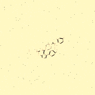 Nc1nc(N2CCN(C(=O)Nc3ccc(F)cc3F)CC2)c2c(-c3ccc(F)cc3)csc2n1